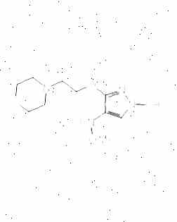 CONc1cn(C)nc1OCCN1CCOCC1